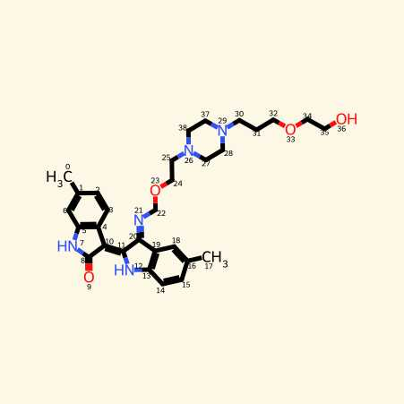 Cc1ccc2c(c1)NC(=O)/C2=C1\Nc2ccc(C)cc2\C1=N/COCCN1CCN(CCCOCCO)CC1